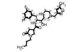 CCCCN1CC(C(=O)N[C@@H](Cc2cc(F)cc(F)c2)[C@H](O)[C@H]2CN(Cc3cc(C)on3)CCN2)CC1=O